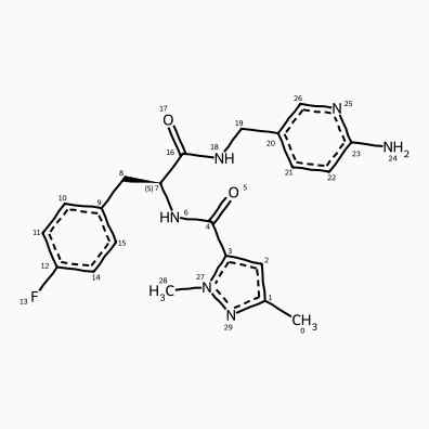 Cc1cc(C(=O)N[C@@H](Cc2ccc(F)cc2)C(=O)NCc2ccc(N)nc2)n(C)n1